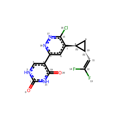 O=c1[nH]cc(-c2cc([C@H]3C[C@@H]3C=C(F)F)c(Cl)nn2)c(=O)[nH]1